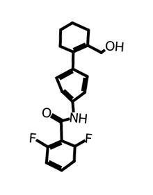 O=C(Nc1ccc(C2=C(CO)CCCC2)cc1)C1=C(F)C=CCC1F